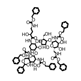 O=C(NCC[C@H](O)C(=O)N[C@@H]1C[C@H](NC(=O)OCc2ccccc2)[C@@H](O[C@H]2O[C@@H]3COC(c4ccccc4)O[C@H]3[C@H](O)[C@H]2NC(=O)OCc2ccccc2)[C@H](O[C@@H]2O[C@H](CO)[C@@H](O[C@H]3O[C@@H](CNC(=O)OCc4ccccc4)[C@@H](O)[C@H](O)[C@H]3NC(=O)OCc3ccccc3)[C@H]2O)[C@H]1O)OCc1ccccc1